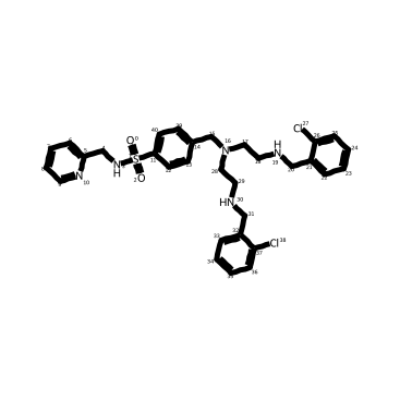 O=S(=O)(NCc1ccccn1)c1ccc(CN(CCNCc2ccccc2Cl)CCNCc2ccccc2Cl)cc1